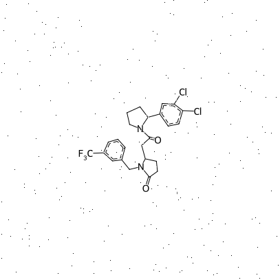 O=C1CCC(CC(=O)N2CCCC2c2ccc(Cl)c(Cl)c2)N1Cc1cccc(C(F)(F)F)c1